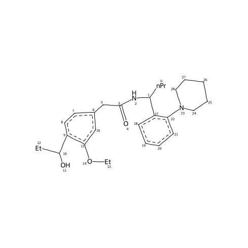 CCCC(NC(=O)Cc1ccc(C(O)CC)c(OCC)c1)c1ccccc1N1CCCCC1